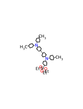 CCO[Si](OCC)(OCC)c1ccc(N(c2ccc(C)cc2)c2ccc(-c3ccc(N(c4ccc(C)cc4)c4ccc(C)cc4)cc3)cc2)cc1